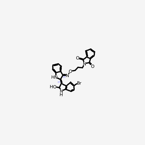 O=C1c2ccccc2C(=O)N1CCCO/N=C1/C(=C2\c3cc(Br)ccc3NC2O)Nc2ccccc21